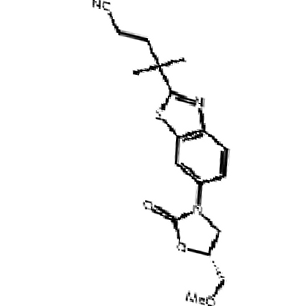 COC[C@H]1CN(c2ccc3nc(C(C)(C)CCC#N)sc3c2)C(=O)O1